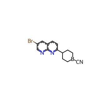 N#CB1CCC(c2ccc3cc(Br)cnc3n2)CC1